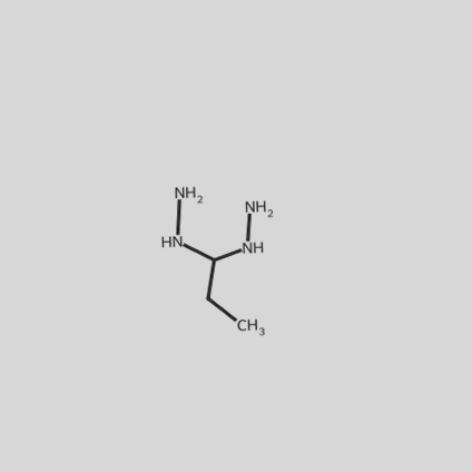 CCC(NN)NN